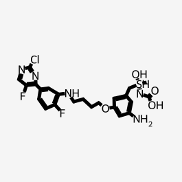 C[SH](O)(Cc1cc(N)cc(OCCCCNc2cc(-c3nc(Cl)ncc3F)ccc2F)c1)=NC(=O)O